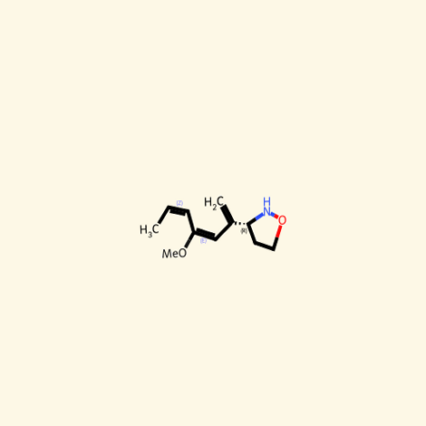 C=C(/C=C(\C=C/C)OC)[C@H]1CCON1